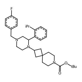 CC(C)c1ccccc1C1CN(Cc2ccc(F)cc2)CCN1C1CC2(CCN(C(=O)OC(C)(C)C)CC2)C1